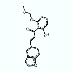 COCOc1cccc(O)c1C(=O)C=Cc1ccc2occc2c1